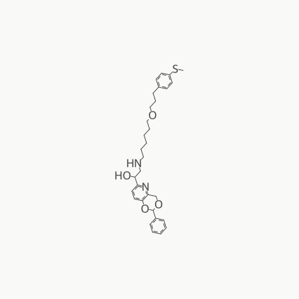 CSc1ccc(CCCOCCCCCCNCC(O)c2ccc3c(n2)COC(c2ccccc2)O3)cc1